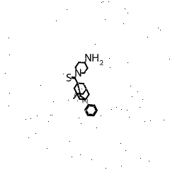 C[C@]12CC3CC(C(=S)N4CCC(N)CC4)(C1)C[C@@](c1ccccc1)(C3)C2